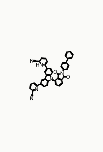 N#Cc1cccc(-c2ccc3c(c2)c2cc(C4=CC=CC(C#N)N4)ccc2n3-c2cccc3c2C(=O)N(c2ccc(-c4ccccc4)cc2)C3=O)n1